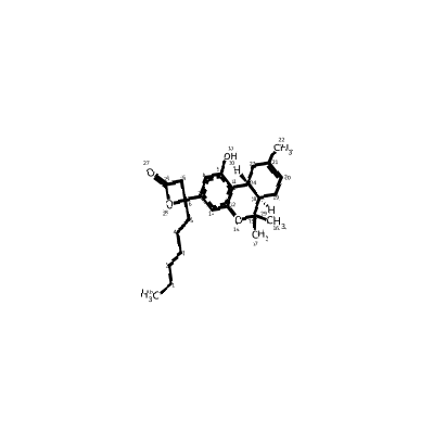 CCCCCCC1(c2cc(O)c3c(c2)OC(C)(C)[C@@H]2CC=C(C)C[C@@H]32)CC(=O)O1